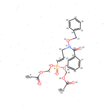 CC(C)(C)C(=O)OCOP(=O)(/C=C/CN(OCc1ccccc1)C(=O)c1ccccc1)OCOC(=O)C(C)(C)C